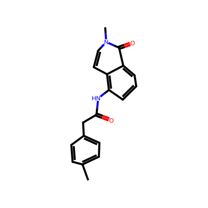 Cc1ccc(CC(=O)Nc2cccc3c(=O)n(C)ccc23)cc1